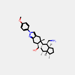 COc1ccc(-n2cc3c(n2)C[C@H](CO)[C@@](C)([C@H]2C[C@@H](C)[C@@H]4[C@H](CC[C@@H]4C)[C@@H]2CN)C3)cc1